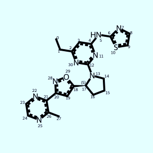 CCc1cc(Nc2nccs2)nc(N2CCC[C@H]2c2cc(-c3nccnc3C)no2)n1